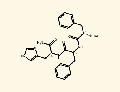 CC(=O)N[C@@H](Cc1ccccc1)C(=O)N[C@@H](Cc1ccccc1)C(=O)N[C@@H](Cc1c[nH]cn1)C(N)=O